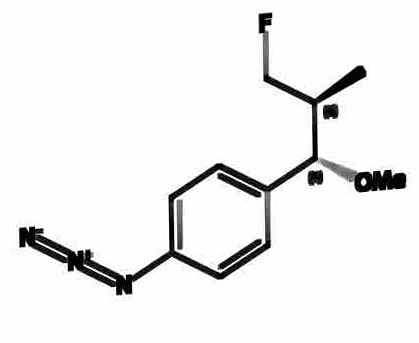 CO[C@H](c1ccc(N=[N+]=[N-])cc1)[C@H](C)CF